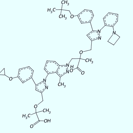 Cc1nn(CC(C)(OCc2cc(-c3cccc(OCC(C)(C)C)c3)n(-c3ccccc3N3CCC3)n2)C(=O)O)c2cccc(-n3nc(COC(C)(C)C(=O)O)cc3-c3cccc(OC4CC4)c3)c12